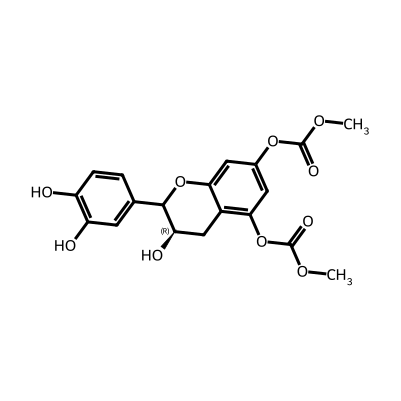 COC(=O)Oc1cc(OC(=O)OC)c2c(c1)OC(c1ccc(O)c(O)c1)[C@H](O)C2